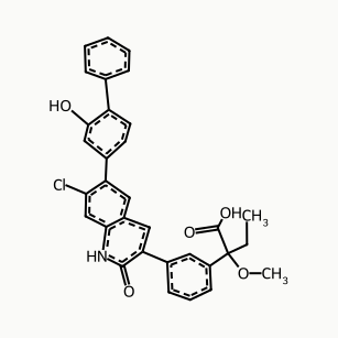 CCC(OC)(C(=O)O)c1cccc(-c2cc3cc(-c4ccc(-c5ccccc5)c(O)c4)c(Cl)cc3[nH]c2=O)c1